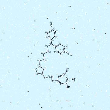 Oc1c(Br)cc(CNCC2CCN(CCCCCC(c3ccc(F)cc3)c3ccc(F)cc3)C2)cc1Br